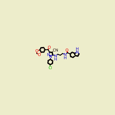 N#Cc1c(C(=O)c2ccc3c(c2)OCO3)nn(-c2ccc(Cl)cc2)c1NCCCNC(=O)c1ccc2cc[nH]c2c1